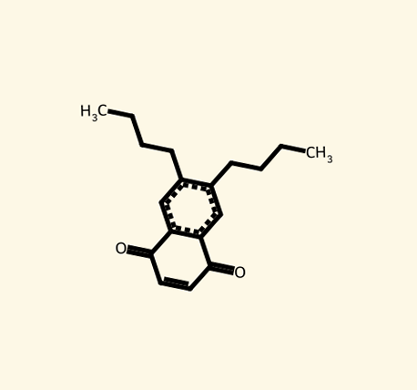 CCCCc1cc2c(cc1CCCC)C(=O)C=CC2=O